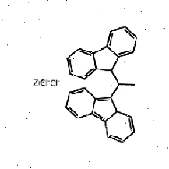 CC(C1=c2ccccc2=C2C=CC=CC21)C1c2ccccc2-c2ccccc21.[Cl-].[Cl-].[Zr+2]